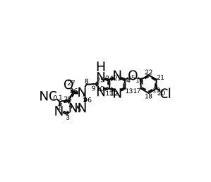 N#Cc1ncn2ncn(Cc3nc4ncc(Oc5ccc(Cl)cc5)nc4[nH]3)c(=O)c12